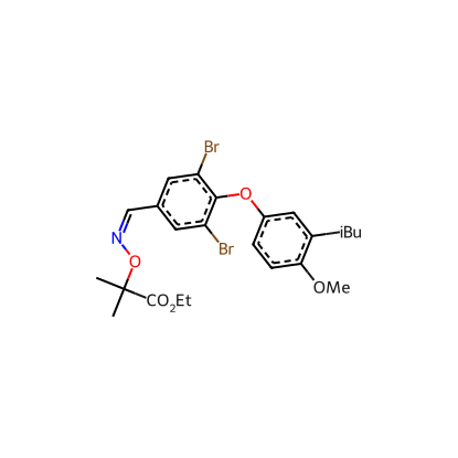 CCOC(=O)C(C)(C)O/N=C\c1cc(Br)c(Oc2ccc(OC)c(C(C)CC)c2)c(Br)c1